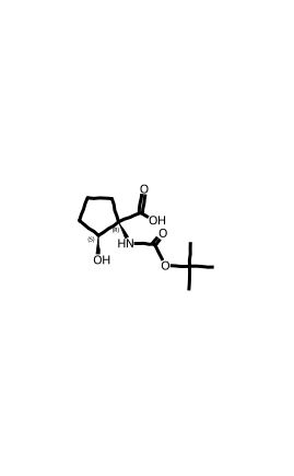 CC(C)(C)OC(=O)N[C@]1(C(=O)O)CCC[C@@H]1O